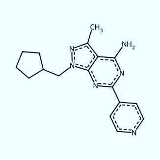 Cc1nn(CC2CCCC2)c2nc(-c3ccncc3)nc(N)c12